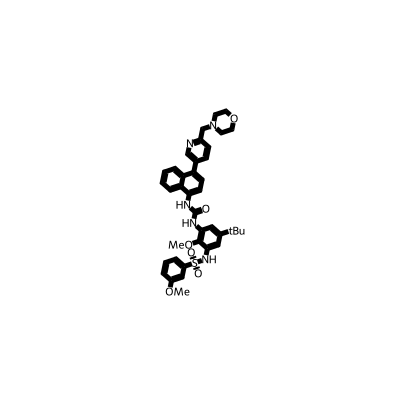 COc1cccc(S(=O)(=O)Nc2cc(C(C)(C)C)cc(NC(=O)Nc3ccc(-c4ccc(CN5CCOCC5)nc4)c4ccccc34)c2OC)c1